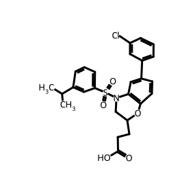 CC(C)c1cccc(S(=O)(=O)N2CC(CCC(=O)O)Oc3ccc(-c4cccc(Cl)c4)cc32)c1